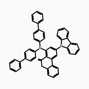 C=C1Cc2ccccc2-c2cc(-n3c4ccccc4c4ccccc43)cc(N(c3ccc(-c4ccccc4)cc3)c3ccc(-c4ccccc4)cc3)c21